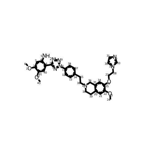 COc1cc(N)c(-c2nnn(-c3ccc(CCN4CCc5cc(OC)c(OCCn6ccnc6)cc5C4)cc3)n2)cc1OC